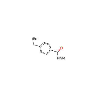 CNC(=O)c1ccc(CC(C)(C)C)cc1